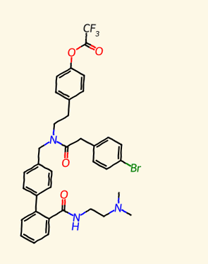 CN(C)CCNC(=O)c1ccccc1-c1ccc(CN(CCc2ccc(OC(=O)C(F)(F)F)cc2)C(=O)Cc2ccc(Br)cc2)cc1